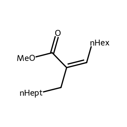 CCCCCCC=C(CCCCCCCC)C(=O)OC